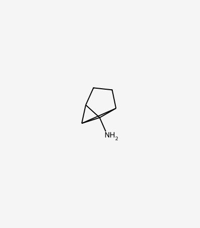 NC12C3CCC1C32